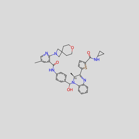 Cc1cnc(N2CC3(CCOCC3)C2)c(C(=O)Nc2ccc(C(O)N3c4ccccc4N=C(c4ccc(C(=O)NC5CC5)s4)[C@@H]3C)cc2)c1